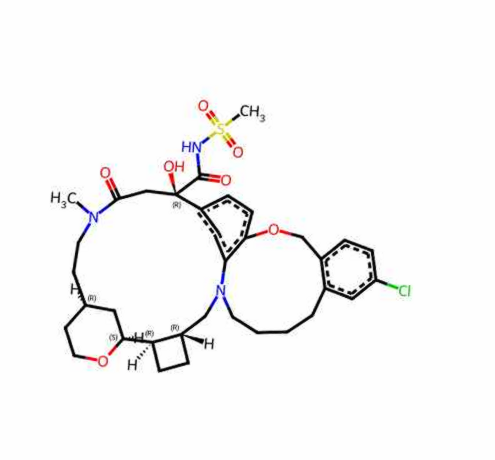 CN1CC[C@@H]2CCO[C@@H](C2)[C@@H]2CC[C@H]2CN2CCCCc3cc(Cl)ccc3COc3ccc(cc32)[C@@](O)(C(=O)NS(C)(=O)=O)CC1=O